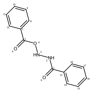 O=C(NNOC(=O)c1ccccc1)c1ccccc1